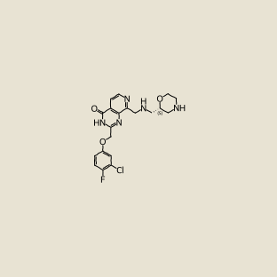 O=c1[nH]c(COc2ccc(F)c(Cl)c2)nc2c(CNC[C@H]3CNCCO3)nccc12